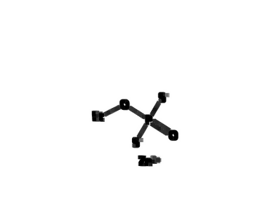 CCOP(=O)([S-])[S-].[Zn+2]